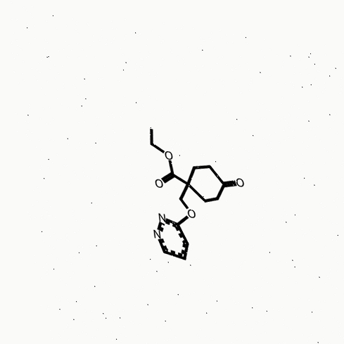 CCOC(=O)C1(COc2cccnn2)CCC(=O)CC1